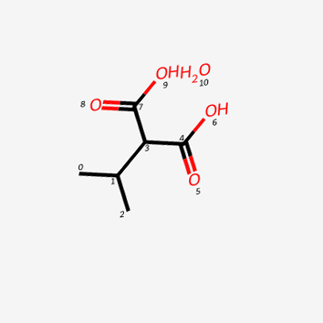 CC(C)C(C(=O)O)C(=O)O.O